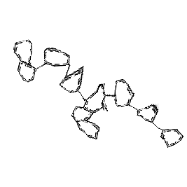 c1ccc(-c2ccc(-c3cccc(-c4nc(-c5ccc(-c6cccc(-c7cccc8ccccc78)c6)cc5)c5ccc6ccccc6c5n4)c3)cc2)cc1